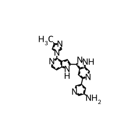 Cc1cn(-c2nccc3[nH]c(-c4n[nH]c5cnc(-c6cncc(N)c6)cc45)cc23)cn1